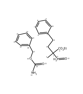 CCOC(=O)C(C)(CCc1ccccc1)[PH2]=O.NC(=O)OCc1ccccc1